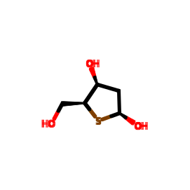 OC[C@@H]1S[C@H](O)C[C@@H]1O